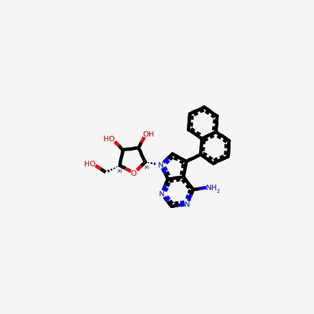 Nc1ncnc2c1c(-c1cccc3ccccc13)cn2[C@@H]1O[C@H](CO)C(O)C1O